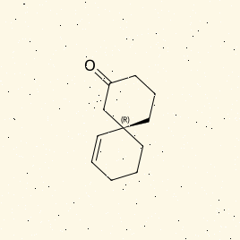 O=C1CCC[C@@]2(C=CCCC2)C1